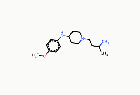 COc1ccc(NC2CCN(CCC(C)N)CC2)cc1